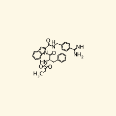 CCS(=O)(=O)N[C@H](Cc1ccccc1)C(=O)n1c(C(=O)NCc2ccc(C(=N)N)cc2)cc2ccccc21